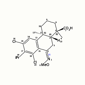 CO/N=C1/C[C@H]2[C@](C)(C(=O)O)CCC[C@]2(C)c2cc(Cl)c(C(C)C)c(Cl)c21